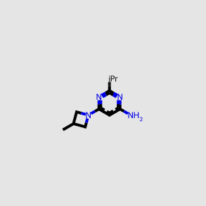 CC1CN(c2cc(N)nc(C(C)C)n2)C1